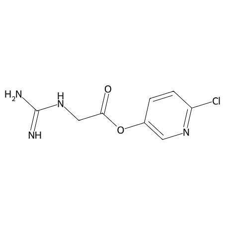 N=C(N)NCC(=O)Oc1ccc(Cl)nc1